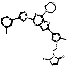 Cc1cccc(-c2cnn(-c3nc(N4CCOCC4)c4oc(-c5cc(C)n(CCN6C(=O)C=CC6=O)n5)cc4n3)c2)c1